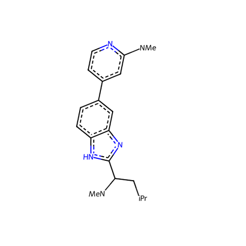 CNc1cc(-c2ccc3[nH]c(C(CC(C)C)NC)nc3c2)ccn1